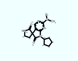 C[S+]([O-])c1ncc2c(n1)N(C1CCCC1)C(=O)C21CCNC1=O